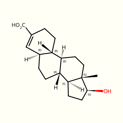 C[C@]12CC[C@@H]3[C@H]4CCC(C(=O)O)=C[C@@H]4CC[C@H]3[C@@H]1CC[C@@H]2O